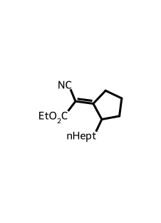 CCCCCCCC1CCCC1=C(C#N)C(=O)OCC